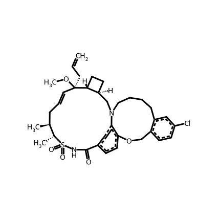 C=CC[C@@]1(OC)/C=C/C[C@H](C)[C@@H](C)S(=O)(=O)NC(=O)c2ccc3c(c2)N(CCCCc2cc(Cl)ccc2CO3)C[C@@H]2CC[C@H]21